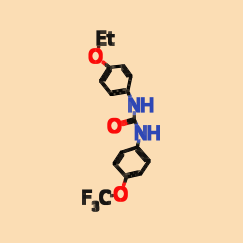 CCOc1ccc(NC(=O)Nc2ccc(OC(F)(F)F)cc2)cc1